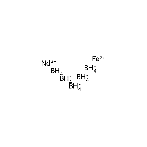 [BH4-].[BH4-].[BH4-].[BH4-].[BH4-].[Fe+2].[Nd+3]